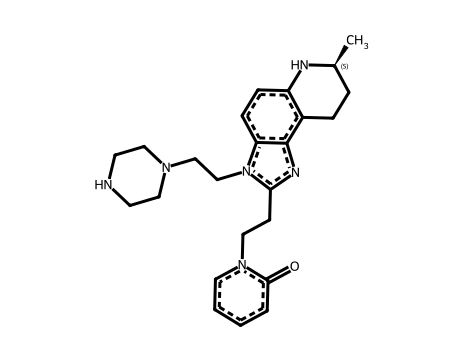 C[C@H]1CCc2c(ccc3c2nc(CCn2ccccc2=O)n3CCN2CCNCC2)N1